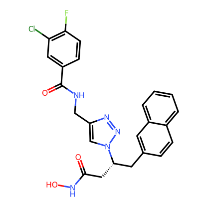 O=C(C[C@@H](Cc1ccc2ccccc2c1)n1cc(CNC(=O)c2ccc(F)c(Cl)c2)nn1)NO